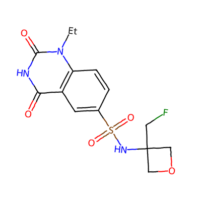 CCn1c(=O)[nH]c(=O)c2cc(S(=O)(=O)NC3(CF)COC3)ccc21